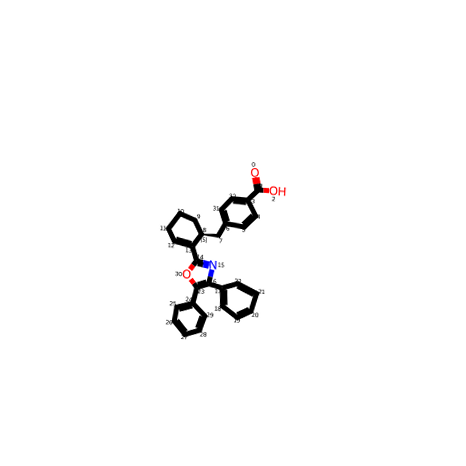 O=C(O)c1ccc(C[C@@H]2CCCC=C2c2nc(-c3ccccc3)c(-c3ccccc3)o2)cc1